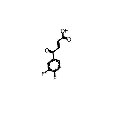 O=C(O)/C=C/C(=O)c1ccc(F)c(F)c1